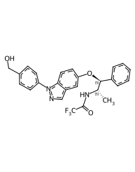 C[C@H](NC(=O)C(F)(F)F)[C@@H](Oc1ccc2c(cnn2-c2ccc(CO)cc2)c1)c1ccccc1